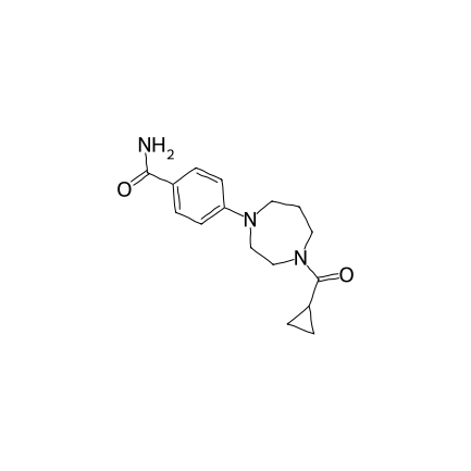 NC(=O)c1ccc(N2CCCN(C(=O)C3CC3)CC2)cc1